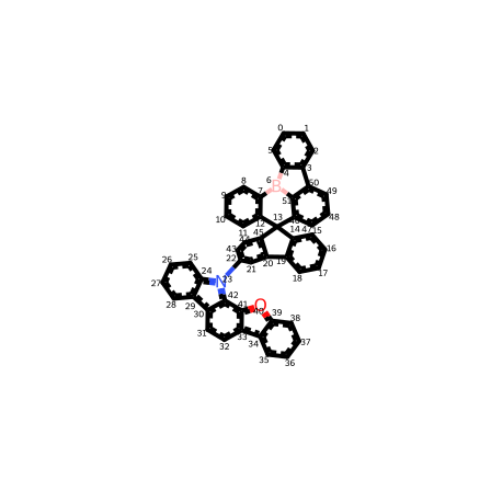 c1ccc2c(c1)B1c3ccccc3C3(c4ccccc4-c4cc(-n5c6ccccc6c6ccc7c8ccccc8oc7c65)ccc43)c3cccc-2c31